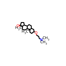 CN(C)CCCO[C@H]1CC[C@@]2(C)C(CCC3C2CC[C@]2(C)C(=O)CCC32)C1